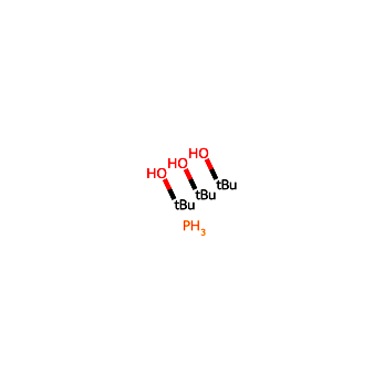 CC(C)(C)O.CC(C)(C)O.CC(C)(C)O.P